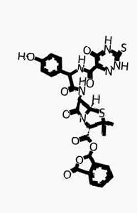 CC1(C)S[C@@H]2[C@H](NC(=O)C(NC(=O)c3n[nH]c(=S)[nH]c3=O)c3ccc(O)cc3)C(=O)N2[C@H]1C(=O)OC1OC(=O)c2ccccc21